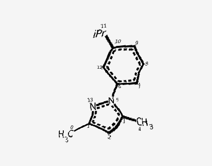 Cc1cc(C)n(-c2[c]ccc(C(C)C)c2)n1